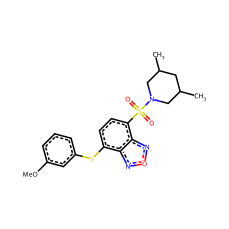 COc1cccc(Sc2ccc(S(=O)(=O)N3CC(C)CC(C)C3)c3nonc23)c1